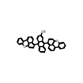 N#Cc1ccc2c(-c3ccc4c5c(cccc35)-c3ccccc3O4)c3ccccc3c(-c3ccc4c5c(cccc35)-c3ccccc3O4)c2c1